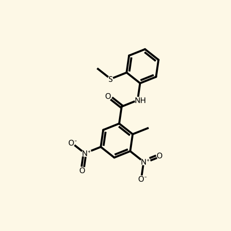 CSc1ccccc1NC(=O)c1cc([N+](=O)[O-])cc([N+](=O)[O-])c1C